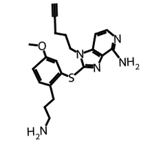 C#CCCCn1c(Sc2cc(OC)ccc2CCCN)nc2c(N)nccc21